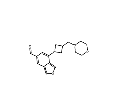 O=Cc1cc(N2CC(CN3CCOCC3)C2)c2nonc2c1